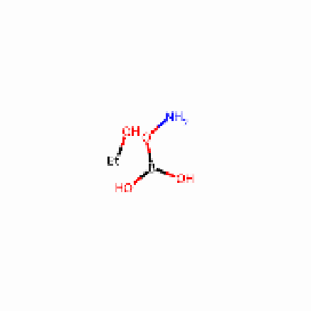 CCO.NOB(O)O